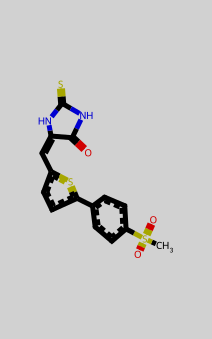 CS(=O)(=O)c1ccc(-c2ccc(C=C3NC(=S)NC3=O)s2)cc1